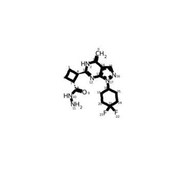 C=C1NC([C@@H]2CC[C@H]2C(=O)NN)=Nc2c1cnn2C1CCC(F)(F)CC1